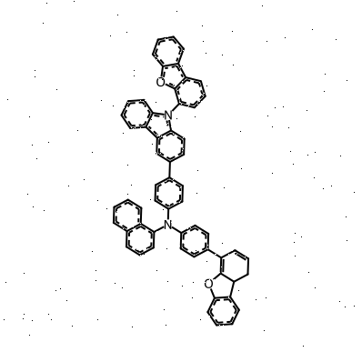 C1=CC(c2ccc(N(c3ccc(-c4ccc5c(c4)c4ccccc4n5-c4cccc5c4oc4ccccc45)cc3)c3cccc4ccccc34)cc2)=C2Oc3ccccc3C2C1